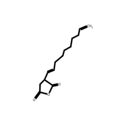 C=CCCCCCC/C=C/C1CC(=O)OC1=O